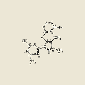 Cc1c(Cc2cccc(F)c2)c(-c2cc(Cl)nc(N)n2)nn1C